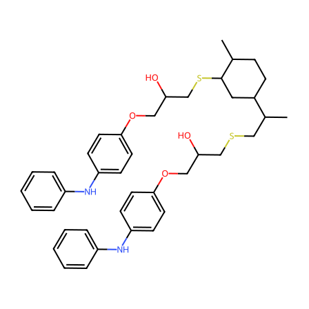 CC(CSCC(O)COc1ccc(Nc2ccccc2)cc1)C1CCC(C)C(SCC(O)COc2ccc(Nc3ccccc3)cc2)C1